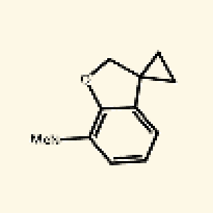 CNc1cccc2c1OCC21CC1